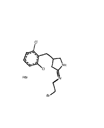 Br.Clc1cccc(Cl)c1CC1CNC(=NCCBr)C1